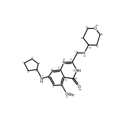 COc1cc(NC2CCCC2)cc2nc(CSC3CCOCC3)[nH]c(=O)c12